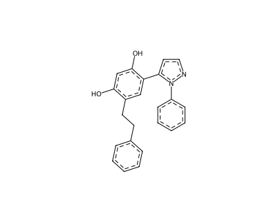 Oc1cc(O)c(-c2ccnn2-c2ccccc2)cc1CCc1ccccc1